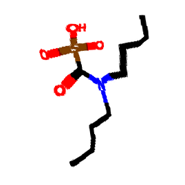 CCCCN(CCCC)C(=O)S(=O)(=O)O